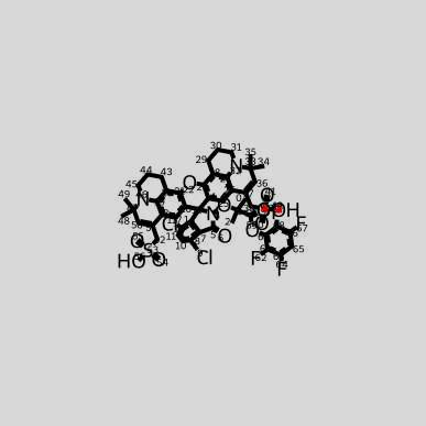 CC(C)(ON1C(=O)c2c(Cl)ccc(Cl)c2C12c1cc3c4c(c1Oc1c2cc2c5c1CCCN5C(C)(C)C=C2CS(=O)(=O)O)CCCN4C(C)(C)C=C3CS(=O)(=O)O)C(=O)Oc1c(F)c(F)cc(F)c1F